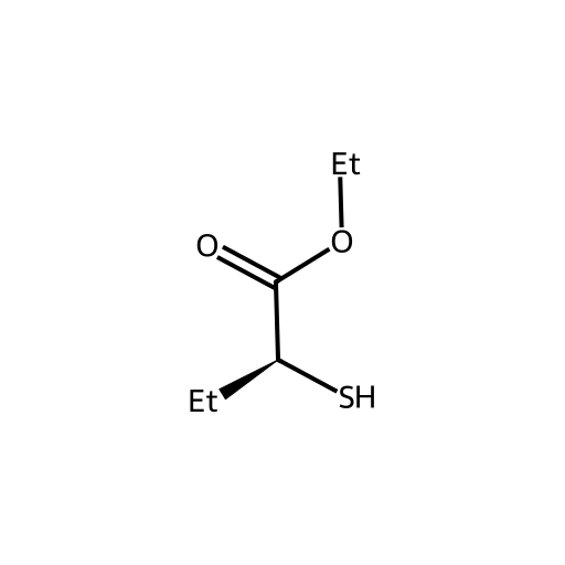 CCOC(=O)[C@@H](S)CC